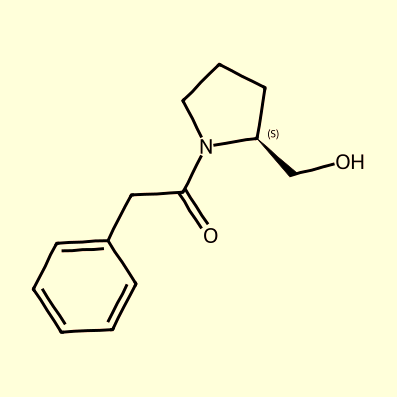 O=C(Cc1ccccc1)N1CCC[C@H]1CO